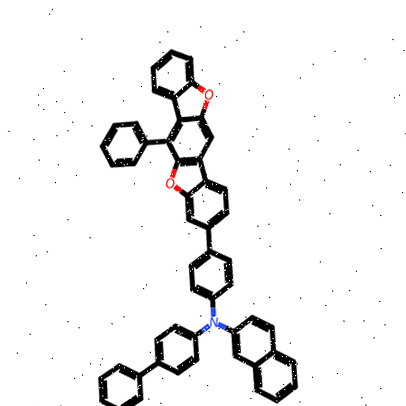 c1ccc(-c2ccc(N(c3ccc(-c4ccc5c(c4)oc4c(-c6ccccc6)c6c(cc45)oc4ccccc46)cc3)c3ccc4ccccc4c3)cc2)cc1